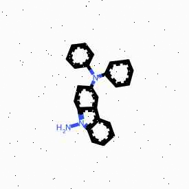 Nn1c2ccccc2c2cc(N(c3ccccc3)c3ccccc3)ccc21